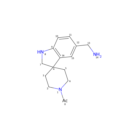 CC(=O)N1CCC2(CC1)CNc1ccc(CN)cc12